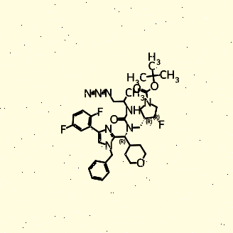 CC(CN=[N+]=[N-])NC(=O)N(C[C@@H]1CN(C(=O)OC(C)(C)C)C[C@@H]1F)[C@@H](c1nc(-c2cc(F)ccc2F)cn1Cc1ccccc1)C1CCOCC1